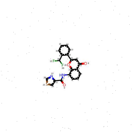 O=C(Nc1cccc2c(=O)cc(-c3ccccc3C(F)F)oc12)c1cscn1